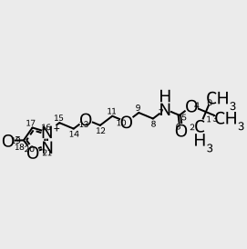 CC(C)(C)OC(=O)NCCOCCOCC[n+]1cc([O-])on1